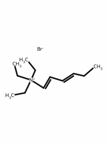 CCC=CC=C[N+](CC)(CC)CC.[Br-]